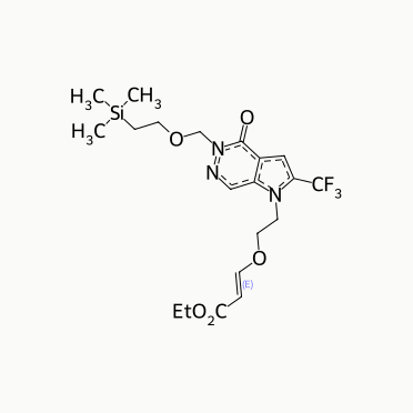 CCOC(=O)/C=C/OCCn1c(C(F)(F)F)cc2c(=O)n(COCC[Si](C)(C)C)ncc21